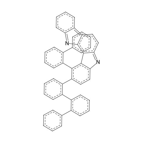 c1ccc(-c2ccccc2-c2ccccc2-c2ccc3c(c2-c2ccccc2-c2ccccc2)-c2c4c(ccc2=N3)=c2ccccc2=N4)cc1